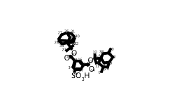 CC1CC2CC(C)CC(C(C)(C)OC(=O)c3cc(C(=O)OC(C)(C)C45CC6CC(CC(C6)C4)C5)cc(S(=O)(=O)O)c3)(C1)C2